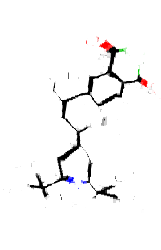 CCC(CC(C)c1cc(C(C)(C)C)nc(C(C)(C)C)c1)c1ccc(C(=O)Cl)c(C(=O)Cl)c1